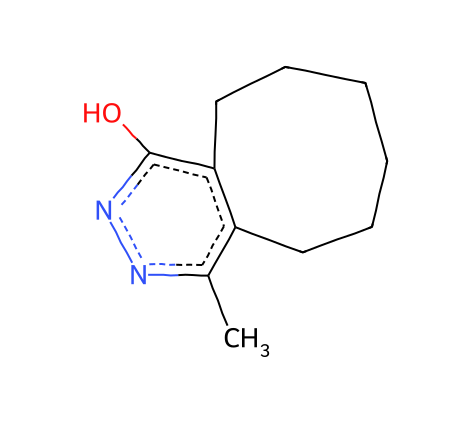 Cc1nnc(O)c2c1CCCCCC2